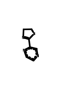 [c]1nccnc1C1=NCCS1